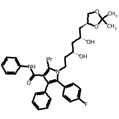 CC(C)c1c(C(=O)Nc2ccccc2)c(-c2ccccc2)c(-c2ccc(F)cc2)n1CC[C@@H](O)C[C@@H](O)C[C@H]1COC(C)(C)O1